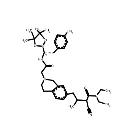 CCN(CC)C(=O)C(C#N)C(C)Cc1ccc2c(c1)CN(CC(=O)N[C@@H](Cc1ccc(C)cc1)B1OC(C)(C)C(C)(C)O1)CC2